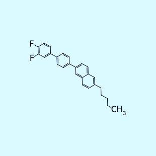 CCCCCc1ccc2cc(-c3ccc(-c4ccc(F)c(F)c4)cc3)ccc2c1